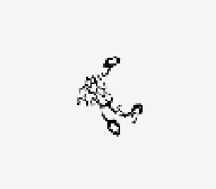 CC(C)C[C@H](NC(=O)NCc1ccccc1)C(=O)N[C@@H](Cc1ccccc1)C(=O)CSCc1ccco1